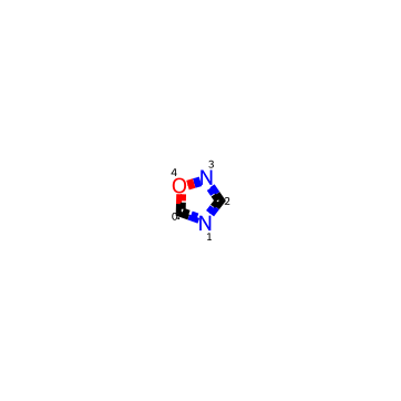 [c]1ncno1